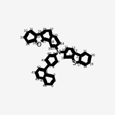 c1ccc2c(-c3ccc(N(c4ccc5c(c4)sc4ccccc45)c4ccc5ccc6c7ccccc7oc6c5c4)cc3)cccc2c1